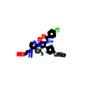 COc1cc(F)c([C@@H]2CN(c3nccc(NCCO)c3C(F)(F)F)C(=O)C2NC(=O)c2ccc(Cl)cc2)c(F)c1